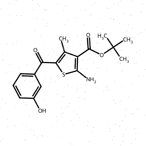 Cc1c(C(=O)c2cccc(O)c2)sc(N)c1C(=O)OC(C)(C)C